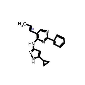 C/C=C/c1cnc(-c2ccccc2)nc1Nc1cc(C2CC2)[nH]n1